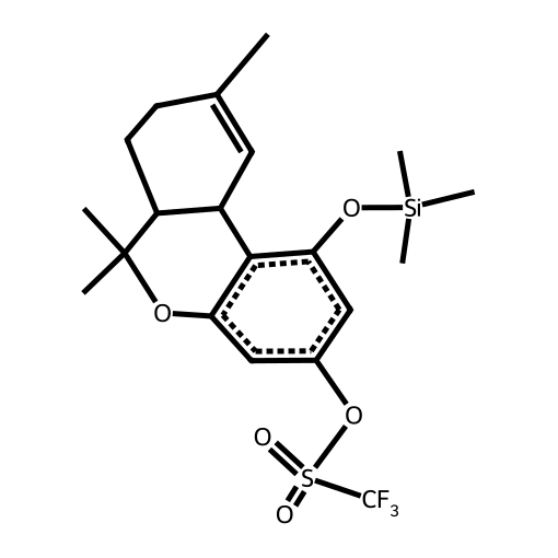 CC1=CC2c3c(cc(OS(=O)(=O)C(F)(F)F)cc3O[Si](C)(C)C)OC(C)(C)C2CC1